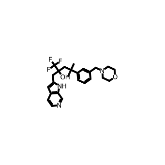 CC(C)(CC(O)(Cc1cc2ccncc2[nH]1)C(F)(F)F)c1cccc(CN2CCOCC2)c1